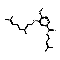 COc1ccc(C(=O)OCC=C(C)C)cc1OC/C=C(\C)CCC=C(C)C